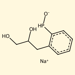 [Na+].[O-]Pc1ccccc1CC(O)CO